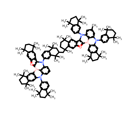 Cc1cc2c3c(c1)N(c1ccc4c(c1)C(C)(C)CCC4(C)C)c1c(oc4cc5c(cc14)C(C)(C)CCC5(C)CC1CC(C)(C)c4ccc(N5c6cccc7c6B(c6cc8c(cc6N7c6ccc7c(c6)C(C)(C)CCC7(C)C)C(C)(C)CCC8(C)C)c6oc7cc8c(cc7c65)C(C)(C)CCC8(C)C)cc4C1(C)C)B3c1cc3c(cc1N2c1ccc2c(c1)C(C)(C)CCC2(C)C)C(C)(C)CCC3(C)C